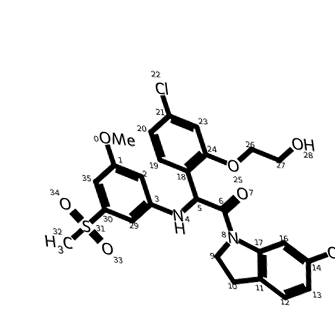 COc1cc(NC(C(=O)N2CCc3ccc(C(F)(F)F)cc32)c2ccc(Cl)cc2OCCO)cc(S(C)(=O)=O)c1